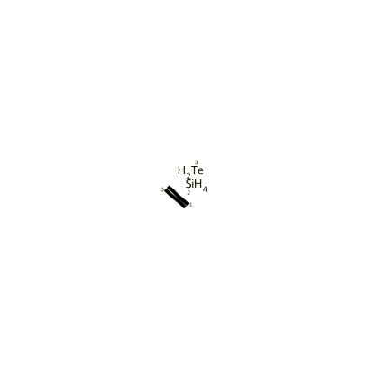 C=C.[SiH4].[TeH2]